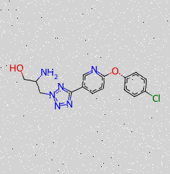 NC(CO)Cn1nnc(-c2ccc(Oc3ccc(Cl)cc3)nc2)n1